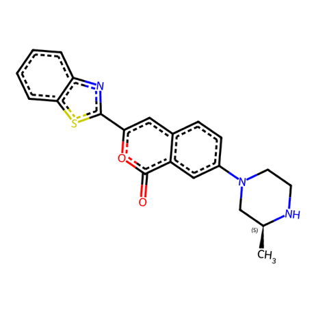 C[C@H]1CN(c2ccc3cc(-c4nc5ccccc5s4)oc(=O)c3c2)CCN1